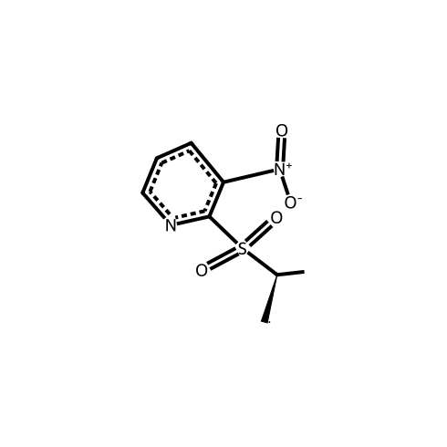 [CH2][C@H](C)S(=O)(=O)c1ncccc1[N+](=O)[O-]